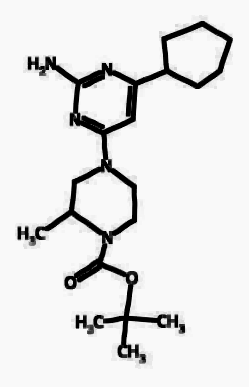 CC1CN(c2cc(C3CCCCC3)nc(N)n2)CCN1C(=O)OC(C)(C)C